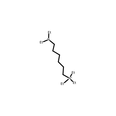 CCN(CC)CCCCCC[N+](CC)(CC)CC